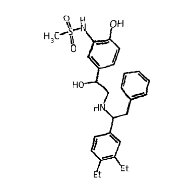 CCc1ccc(C(Cc2ccccc2)NCC(O)c2ccc(O)c(NS(C)(=O)=O)c2)cc1CC